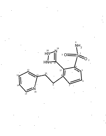 NS(=O)(=O)c1cccc(CCc2ccccn2)c1-c1n[nH][nH]1